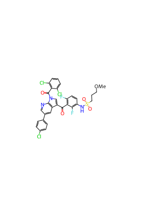 COCCCS(=O)(=O)Nc1ccc(F)c(C(=O)c2cn(C(=O)c3c(Cl)cccc3Cl)c3ncc(-c4ccc(Cl)cc4)cc23)c1F